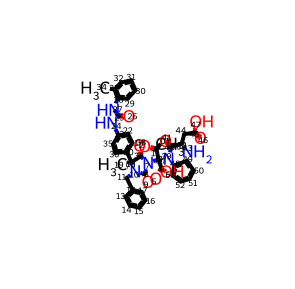 CC(=O)[C@@](C(=O)O)(N1C(=O)N(Cc2ccccc2)[C@](C)(c2ccc(NC(=O)Nc3ccccc3C)cc2)C1=O)N(C(=O)[C@@H](N)CC(=O)O)c1ccccc1